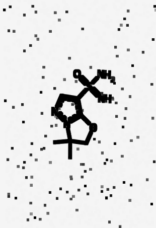 CC1(C)COc2c(S(=N)(N)=O)cnn21